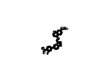 COc1ccc2c(OCc3nnc4ccc(-c5ccc(C(=O)Cl)c(F)c5)cn34)ccnc2c1